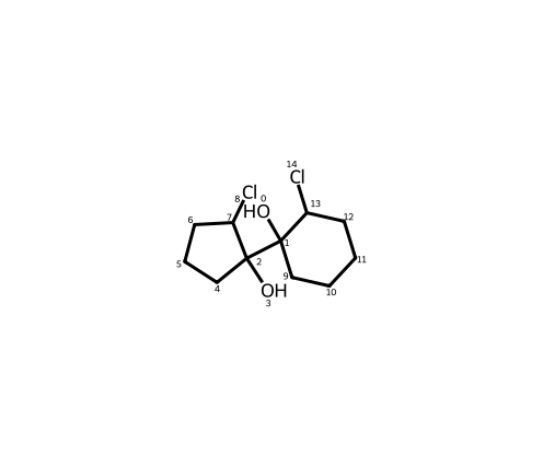 OC1(C2(O)CCCC2Cl)CCCCC1Cl